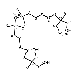 CC(CO)(CO)COCCC[Si](C)(C)O[Si](C)(C)CCCOCC(C)(CO)CO